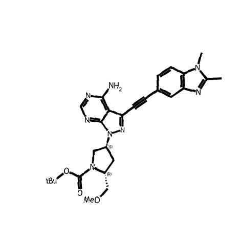 COC[C@H]1C[C@H](n2nc(C#Cc3ccc4c(c3)nc(C)n4C)c3c(N)ncnc32)CN1C(=O)OC(C)(C)C